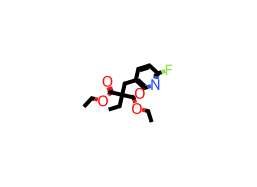 CCOC(=O)C(CC)(Cc1ccc(F)nc1)C(=O)OCC